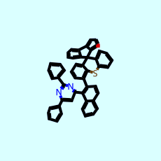 c1ccc(-c2cc(-c3c(-c4cccc5c4Sc4ccccc4C54c5ccccc5-c5ccccc54)ccc4ccccc34)nc(-c3ccccc3)n2)cc1